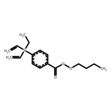 [CH2]CCCOOC(=O)c1ccc([Si](C=C)(C=C)CC)cc1